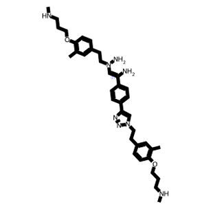 CNCCCOc1ccc(CCN(N)/C=C(\N)c2ccc(-c3cn(CCc4ccc(OCCCNC)c(C)c4)nn3)cc2)cc1C